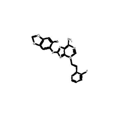 Nc1ncn(CCc2ccccc2F)c2nc(Sc3cc4c(cc3Br)OCO4)nc1-2